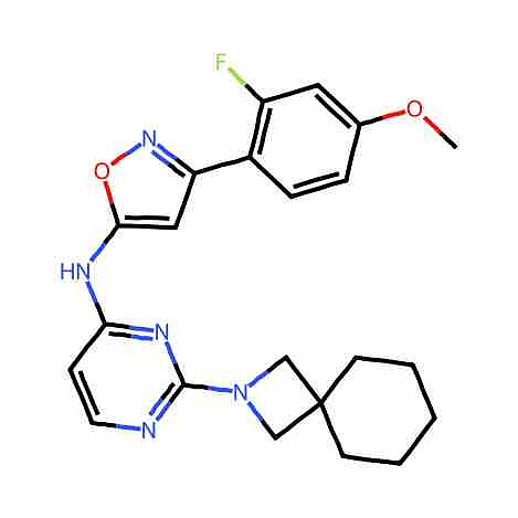 COc1ccc(-c2cc(Nc3ccnc(N4CC5(CCCCC5)C4)n3)on2)c(F)c1